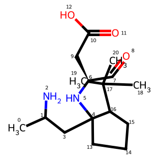 CC(N)CC1(N[C@H](C=O)CC(=O)O)CCCC1C(C)(C)C